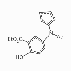 CCOC(=O)c1cc(N(C(C)=O)c2cccs2)ccc1O